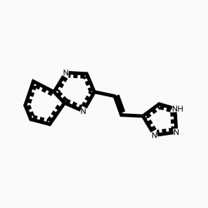 C(=Cc1cnc2ccccc2n1)c1c[nH]nn1